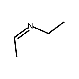 C/C=N\CC